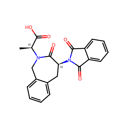 C[C@@H](C(=O)O)N1Cc2ccccc2C[C@H](N2C(=O)c3ccccc3C2=O)C1=O